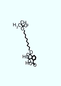 C=C(C)C(=O)OCCCCCCCCCCOC(=O)c1cccc(C(=O)O)c1C(=O)O